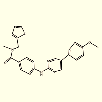 COc1ccc(-c2cnc(Nc3ccc(C(=O)N(C)Cc4ccco4)cc3)nc2)cc1